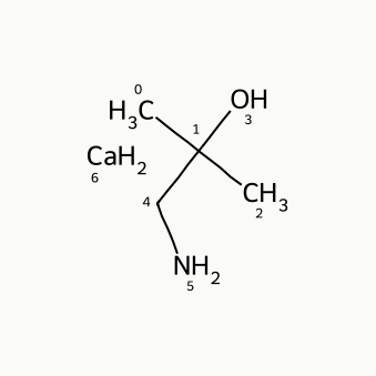 CC(C)(O)CN.[CaH2]